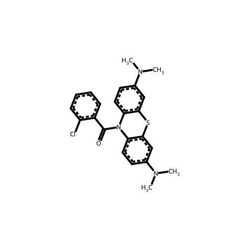 CN(C)c1ccc2c(c1)Sc1cc(N(C)C)ccc1N2C(=O)c1ccccc1Cl